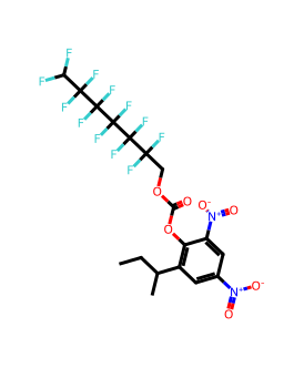 CCC(C)c1cc([N+](=O)[O-])cc([N+](=O)[O-])c1OC(=O)OCC(F)(F)C(F)(F)C(F)(F)C(F)(F)C(F)(F)C(F)F